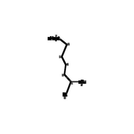 [CH2]CC(CCCC)CCCCCCCCCCC